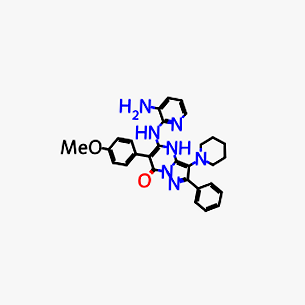 COc1ccc(-c2c(Nc3ncccc3N)[nH]c3c(N4CCCCC4)c(-c4ccccc4)nn3c2=O)cc1